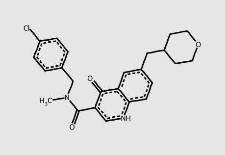 CN(Cc1ccc(Cl)cc1)C(=O)c1c[nH]c2ccc(CC3CCOCC3)cc2c1=O